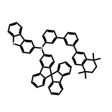 CC1(C)CCC(C)(C)c2cc(-c3cccc(-c4cccc(N(c5ccc6c(c5)-c5ccccc5C65c6ccccc6-c6ccccc65)c5ccc6sc7ccccc7c6c5)c4)c3)ccc21